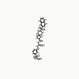 CC(C)NS(=O)(=O)c1cccc(OCC(O)CNC2COC3(CCN(S(=O)(=O)c4ccc5ccccc5c4)CC3)C2)c1